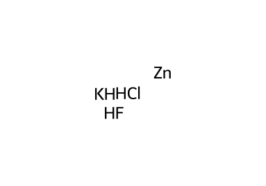 Cl.F.[KH].[Zn]